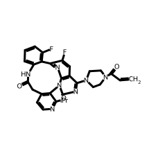 C=CC(=O)N1CCN(c2nc(=O)n3c4nc(c(F)cc24)-c2c(F)cccc2NC(=O)Cc2ccnc(C(C)C)c2-3)CC1